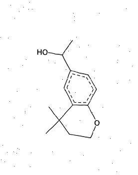 CC(O)c1ccc2c(c1)C(C)(C)CCO2